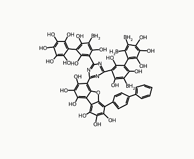 Bc1c(B)c(-c2c(O)c(B)c(O)c(-c3nc(-c4c(O)c(B)c(O)c(-c5c(O)c(O)c(O)c(O)c5O)c4O)nc(-c4c(O)c(O)c(O)c5c4oc4c(-c6ccc(-c7ccccc7)cc6)c(O)c(O)c(O)c45)n3)c2O)c(O)c(O)c1O